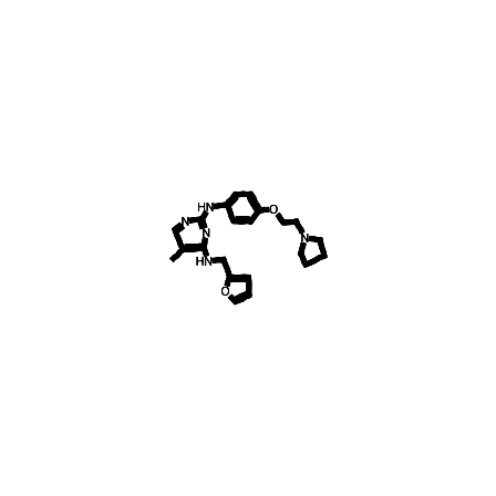 Cc1cnc(Nc2ccc(OCCN3CCCC3)cc2)nc1NCc1ccco1